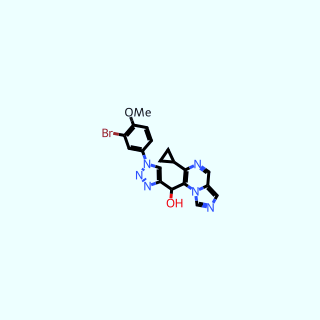 COc1ccc(-n2cc(C(O)c3c(C4CC4)ncc4cncn34)nn2)cc1Br